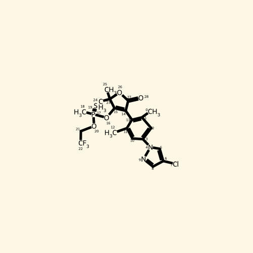 Cc1cc(-n2cc(Cl)cn2)cc(C)c1C1=C(OP(C)(=S)OCC(F)(F)F)C(C)(C)OC1=O